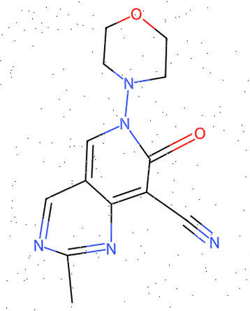 Cc1ncc2cn(N3CCOCC3)c(=O)c(C#N)c2n1